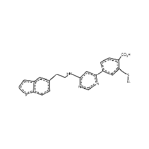 CCSc1cc(-c2cc(NCCc3ccc4sccc4c3)ncn2)ccc1C(=O)O